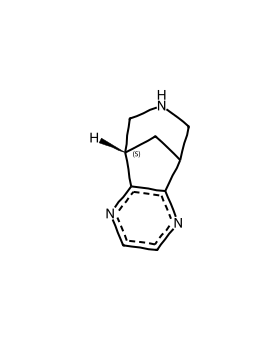 c1cnc2c(n1)C1CNC[C@@H]2C1